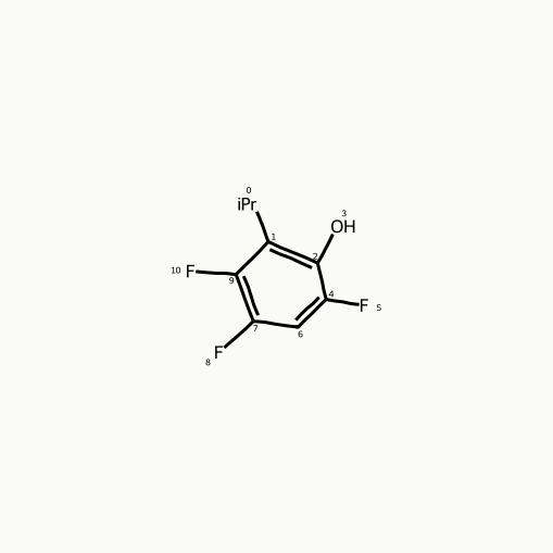 CC(C)c1c(O)c(F)cc(F)c1F